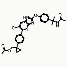 CC(=O)NC(C)(C)c1ccc(Oc2nc3nc(-c4ccc(C5(COC(C)=O)CC5)cc4)c(Cl)cc3[nH]2)cc1